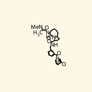 CN[C@@H](C)C(=O)NC1CCCCC2CCC(C(=O)NCc3cccc(C(=O)N4CC5CCC4C(=O)O5)c3)N2C1=O